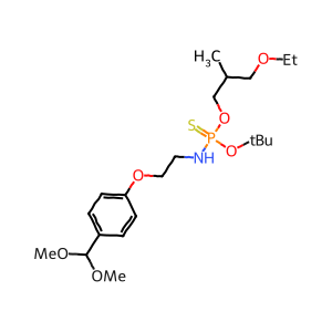 CCOCC(C)COP(=S)(NCCOc1ccc(C(OC)OC)cc1)OC(C)(C)C